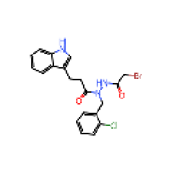 O=C(CBr)NN(Cc1ccccc1Cl)C(=O)CCc1c[nH]c2ccccc12